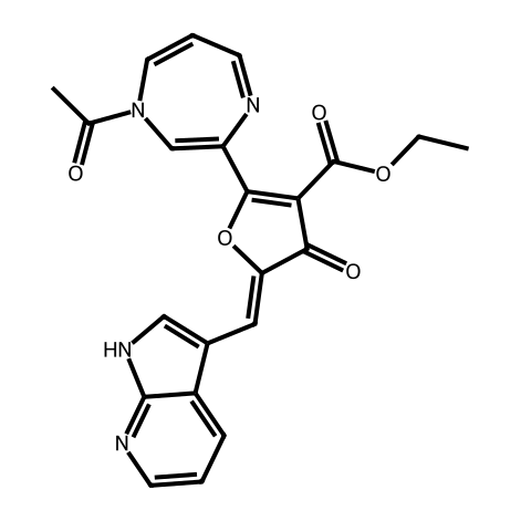 CCOC(=O)C1=C(C2=CN(C(C)=O)C=CC=N2)OC(=Cc2c[nH]c3ncccc23)C1=O